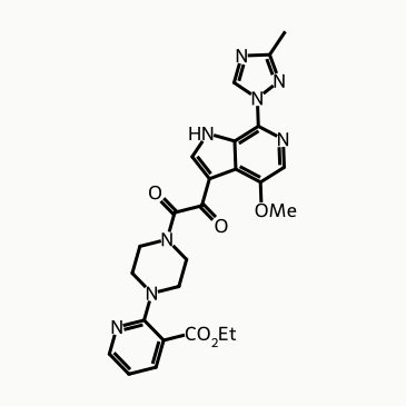 CCOC(=O)c1cccnc1N1CCN(C(=O)C(=O)c2c[nH]c3c(-n4cnc(C)n4)ncc(OC)c23)CC1